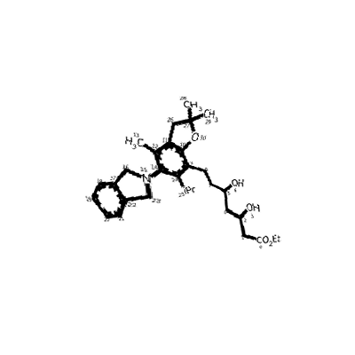 CCOC(=O)CC(O)CC(O)CCc1c2c(c(C)c(N3Cc4ccccc4C3)c1C(C)C)CC(C)(C)O2